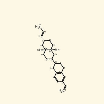 C=Cc1ccc2c(c1)CCC(C1CC[C@@H]3C[C@H](C=CC)CC[C@@H]3C1)C2